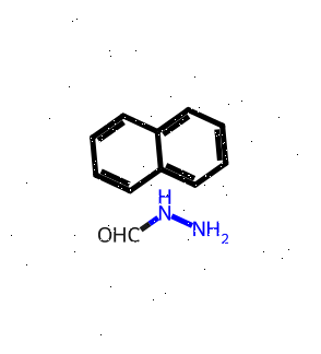 NNC=O.c1ccc2ccccc2c1